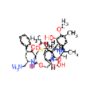 COc1c(C)cc2c(c1O)[C@H]1N[C@@H](C2C)[C@H](O)N2[C@H]1[C@@H]1SC[C@]3(N[C@@H](CN)Cc4c3oc3ccccc43)C(=O)OC[C@H]2c2c3c(c(C)c(OC(C)=O)c21)OCO3